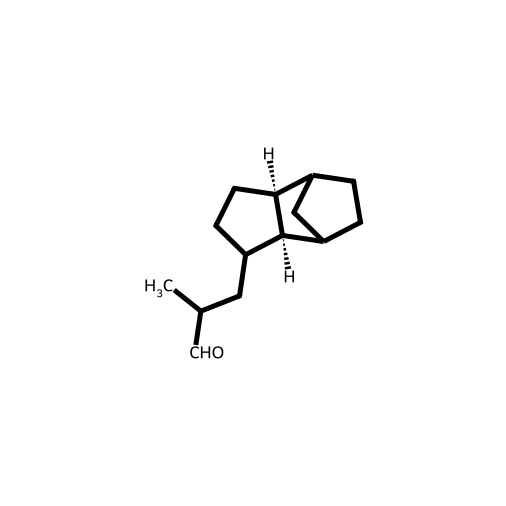 CC(C=O)CC1CC[C@H]2C3CCC(C3)[C@@H]12